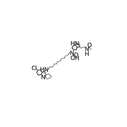 CC(=O)NCCc1c[nH]c2ccc(N(CCCCCCCCCCCCNc3c4c(nc5ccc(Cl)cc35)CCCC4)C(=O)O)cc12